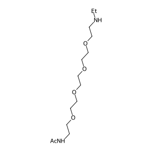 CCNCCOCCOCCOCCOCCNC(C)=O